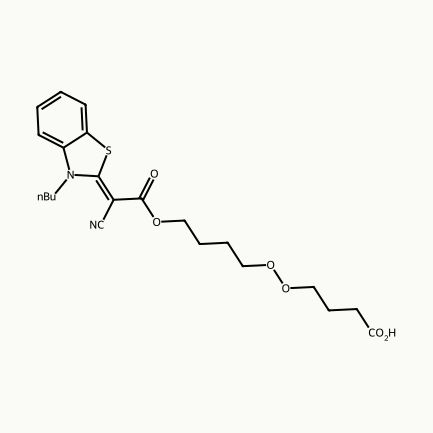 CCCCN1/C(=C(\C#N)C(=O)OCCCCOOCCCC(=O)O)Sc2ccccc21